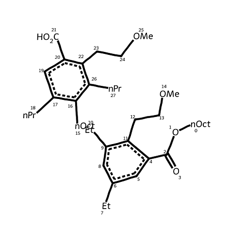 CCCCCCCCOC(=O)c1cc(CC)cc(CC)c1CCOC.CCCCCCCCc1c(CCC)cc(C(=O)O)c(CCOC)c1CCC